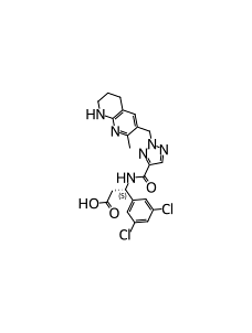 Cc1nc2c(cc1Cn1ncc(C(=O)N[C@@H](CC(=O)O)c3cc(Cl)cc(Cl)c3)n1)CCCN2